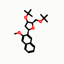 COc1cc2ccccc2cc1[C@H]1CC(OC(C)(C)C)[C@@H](COC(C)(C)C)O1